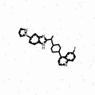 CC(c1nc2cc(-n3cccn3)ccc2[nH]1)C1CCC(c2ccnc3ccc(F)cc23)CC1